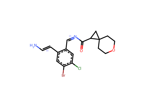 N/C=C/c1cc(Br)c(Cl)cc1/C=N\C(=O)C1CC12CCOCC2